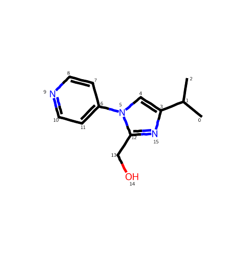 CC(C)c1cn(-c2ccncc2)c(CO)n1